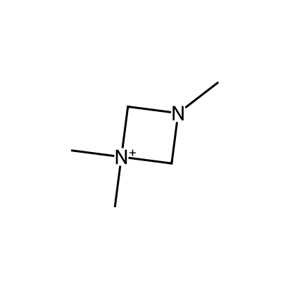 CN1C[N+](C)(C)C1